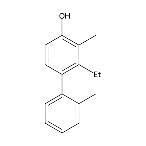 CCc1c(-c2ccccc2C)ccc(O)c1C